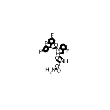 NC(=O)OC[C@@H]1CO[C@H](CCc2c(F)cccc2NC(=O)C[C@@H](c2ccc(F)cc2)c2ccc(F)cc2F)CN1